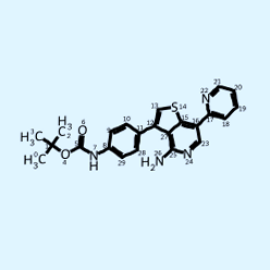 CC(C)(C)OC(=O)Nc1ccc(-c2csc3c(-c4ccccn4)cnc(N)c23)cc1